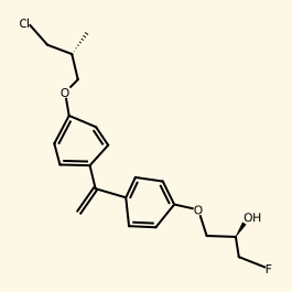 C=C(c1ccc(OC[C@@H](C)CCl)cc1)c1ccc(OC[C@@H](O)CF)cc1